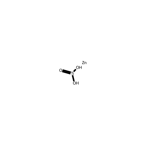 [O]=[Ti]([OH])[OH].[Zn]